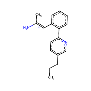 CCCc1ccc(-c2ccccc2/C=C(\C)N)nc1